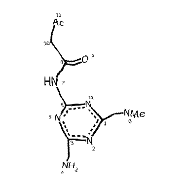 CNc1nc(N)nc(NC(=O)CC(C)=O)n1